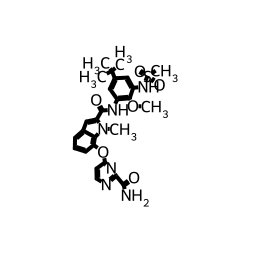 COc1c(NC(=O)c2cc3cccc(Oc4ccnc(C(N)=O)n4)c3n2C)cc(C(C)(C)C)cc1NS(C)(=O)=O